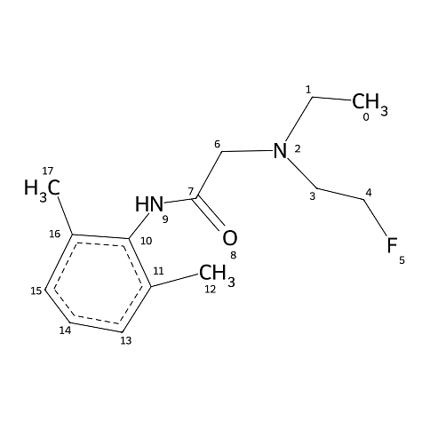 CCN(CCF)CC(=O)Nc1c(C)cccc1C